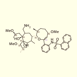 CO[C@H](C)C[C@]1(O)C(CN)CC([C@H]2O/C(c3ccccc3NS(=O)(=O)c3cccc4ccccc34)=C\[C@@H](OC)CC[C@@H]2C)C(C)C2C[C@H](C)[C@H](OC)[C@@]21O